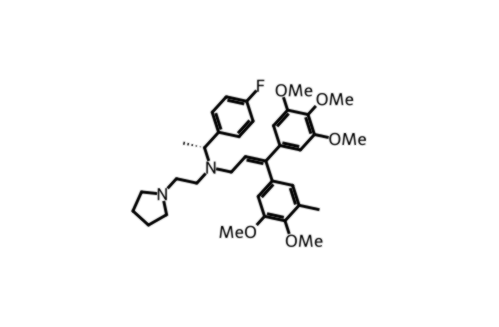 COc1cc(/C(=C\CN(CCN2CCCC2)[C@H](C)c2ccc(F)cc2)c2cc(OC)c(OC)c(OC)c2)cc(C)c1OC